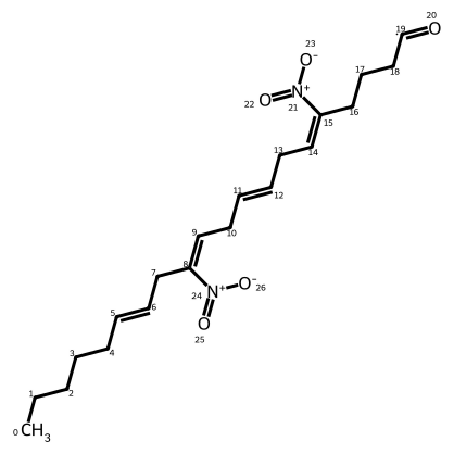 CCCCC/C=C/C/C(=C/C/C=C/C/C=C(/CCC[C]=O)[N+](=O)[O-])[N+](=O)[O-]